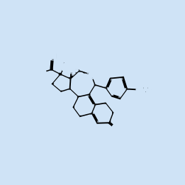 C=C(C)C1(O)CCC2C3CCC4=CC(=O)CCC4=C3C(c3ccc(SC)cc3)OCC21C